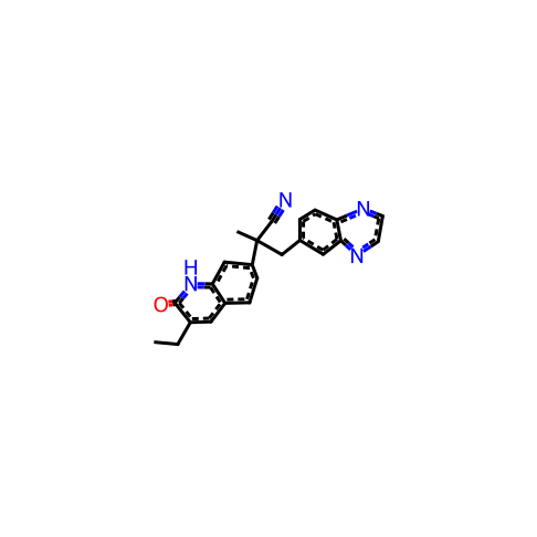 CCc1cc2ccc(C(C)(C#N)Cc3ccc4nccnc4c3)cc2[nH]c1=O